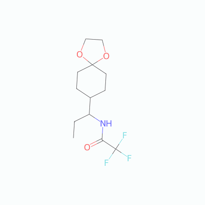 CCC(NC(=O)C(F)(F)F)C1CCC2(CC1)OCCO2